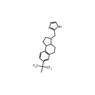 FC(F)(F)C(F)(c1ccc2c(c1)CCC1C2CCN1Cc1ncc[nH]1)C(F)(F)F